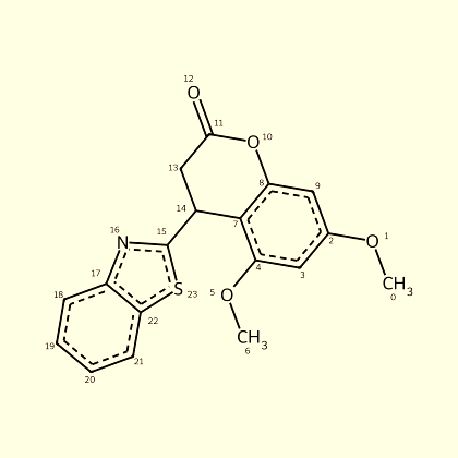 COc1cc(OC)c2c(c1)OC(=O)CC2c1nc2ccccc2s1